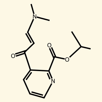 CC(C)OC(=O)c1ncccc1C(=O)C=CN(C)C